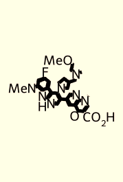 CNc1cc(F)cc2c1[nH]c1ncc(-c3cnc4c(c3)c(=O)c(C(=O)O)cn4C)c(N3CCC(CN(C)CCOC)C3)c12